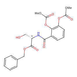 COC(=O)Oc1cccc(C(=O)N[C@@H](CO)C(=O)OCc2ccccc2)c1OC(=O)OC